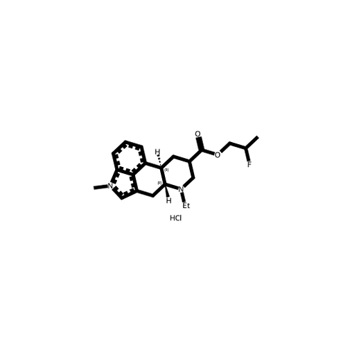 CCN1CC(C(=O)OCC(C)F)C[C@@H]2c3cccc4c3c(cn4C)C[C@H]21.Cl